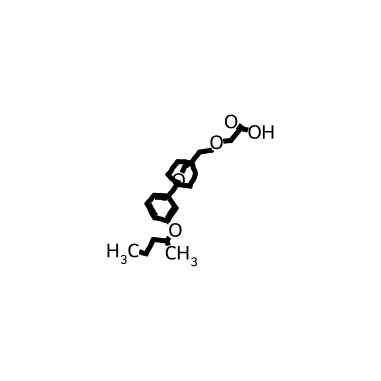 CCCC(C)Oc1cccc(C23CCC(CCOCC(=O)O)(CC2)CO3)c1